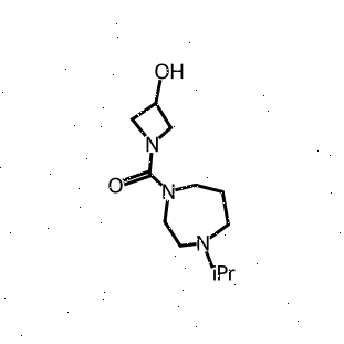 CC(C)N1CCCN(C(=O)N2CC(O)C2)CC1